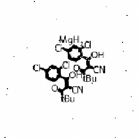 CC(C)(C)C(=O)C(C#N)=C(O)c1ccc(Cl)cc1Cl.CC(C)(C)C(=O)C(C#N)=C(O)c1ccc(Cl)cc1Cl.[MgH2]